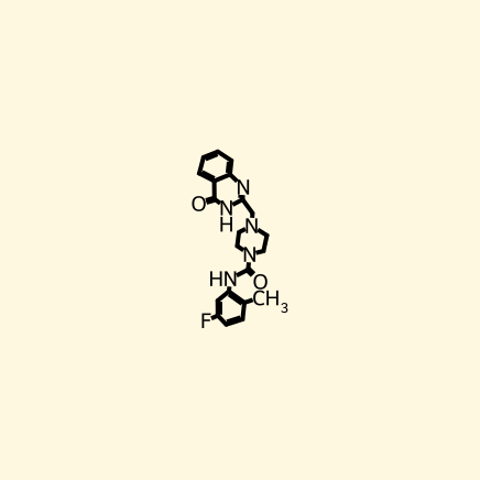 Cc1ccc(F)cc1NC(=O)N1CCN(Cc2nc3ccccc3c(=O)[nH]2)CC1